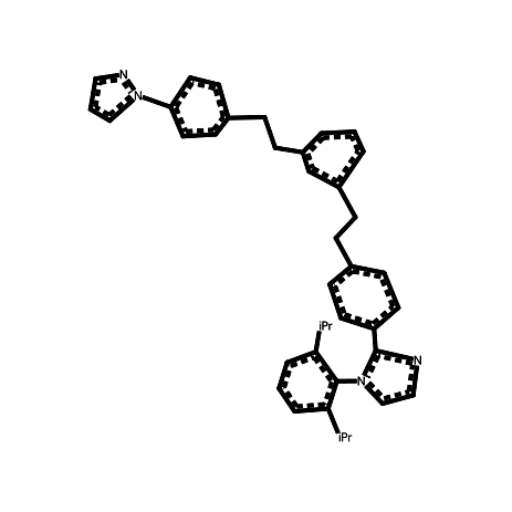 CC(C)c1cccc(C(C)C)c1-n1ccnc1-c1ccc(CCc2cccc(CCc3ccc(-n4cccn4)cc3)c2)cc1